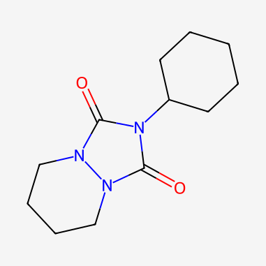 O=c1n(C2CCCCC2)c(=O)n2n1CCCC2